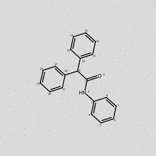 O=C(Nc1cc[c]cc1)C(c1ccccc1)c1ccccc1